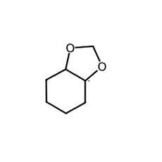 C1CCC2OCO[C]2C1